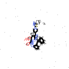 O=C1Nc2c(c(C3CCN(c4nnc(C(F)(F)F)s4)CC3)nn2C(c2ccccc2)c2ccccc2)[C@@H](C(F)(F)F)[C@H]1O